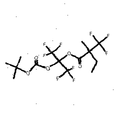 CCC(C)(C(=O)OC(OC(=O)OC(C)(C)C)(C(F)(F)F)C(F)(F)F)C(F)(F)F